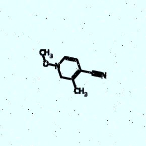 CON1C=CC(C#N)=C(C)C1